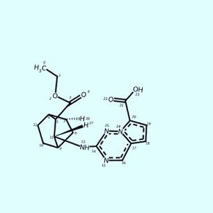 CCOC(=O)[C@@H]1C2CCC(CC2)[C@H]1Nc1ncc2ccc(C(=O)O)n2n1